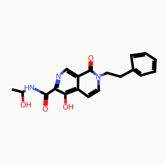 [CH2]C(O)NC(=O)c1ncc2c(=O)n(CCc3ccccc3)ccc2c1O